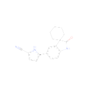 N#Cc1ccc(-c2ccc3c(c2)C2(CCCCC2)C(=O)N3)[nH]1